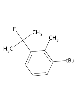 Cc1c(C(C)(C)C)cccc1C(C)(C)F